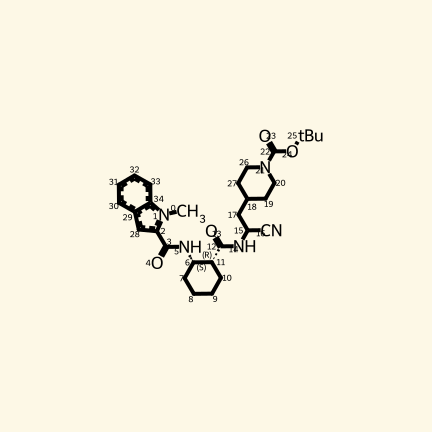 Cn1c(C(=O)N[C@H]2CCCC[C@H]2C(=O)NC(C#N)CC2CCN(C(=O)OC(C)(C)C)CC2)cc2ccccc21